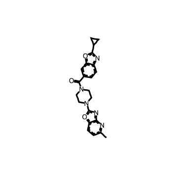 Cc1ccc2oc(N3CCN(C(=O)c4ccc5nc(C6CC6)oc5c4)CC3)nc2n1